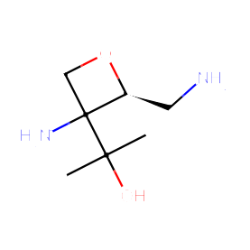 CC(C)(O)C1(N)CO[C@H]1CN